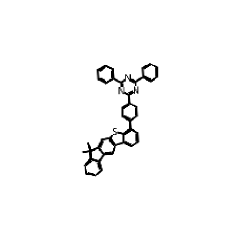 CC1(C)c2ccccc2-c2cc3c(cc21)sc1c(-c2ccc(-c4nc(-c5ccccc5)nc(-c5ccccc5)n4)cc2)cccc13